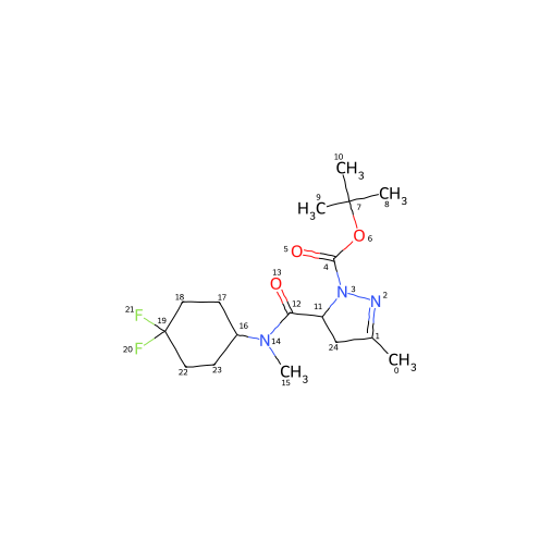 CC1=NN(C(=O)OC(C)(C)C)C(C(=O)N(C)C2CCC(F)(F)CC2)C1